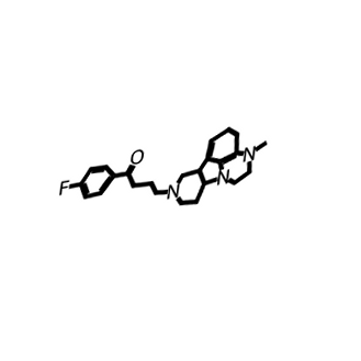 CN1CCN2C3=C1CCC=C3C1CN(CCCC(=O)c3ccc(F)cc3)CCC12